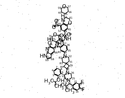 CC(C)Oc1ccccc1[C@@H]1CN(C(c2ccc(F)c(F)c2)C(C)C)CCN1C1CC2(CCN(c3ccc(C(=O)NS(=O)(=O)c4cc5c(c([N+](=O)[O-])c4)N[C@H](C4CCOCC4)CO5)c(N4c5cc6cc[nH]c6nc5O[C@H]5COCC[C@@H]54)c3)CC2)C1